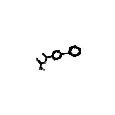 CC(OC(N)=O)c1ccc(-c2ccccc2)cc1